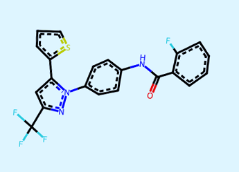 O=C(Nc1ccc(-n2nc(C(F)(F)F)cc2-c2cccs2)cc1)c1ccccc1F